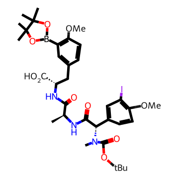 COc1ccc([C@@H](C(=O)N[C@@H](C)C(=O)N[C@@H](Cc2ccc(OC)c(B3OC(C)(C)C(C)(C)O3)c2)C(=O)O)N(C)C(=O)OC(C)(C)C)cc1I